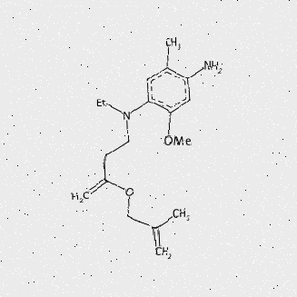 C=C(C)COC(=C)CCN(CC)c1cc(C)c(N)cc1OC